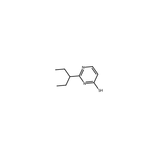 CCC(CC)c1nccc(S)n1